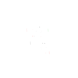 CC1C(=O)c2c(O)cc(O)c(Cl)c2OC1c1ccc(O)cc1